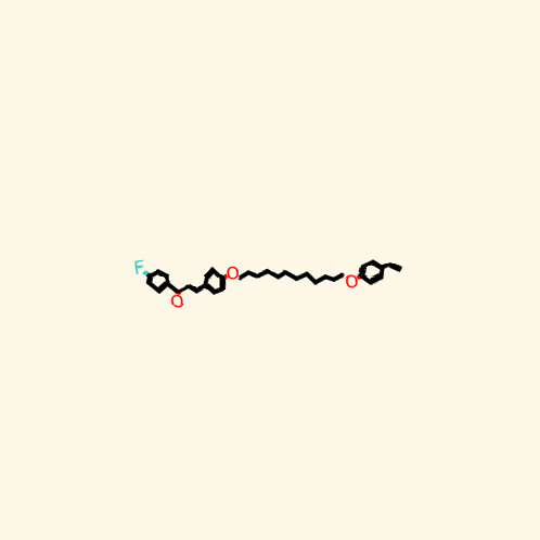 C=Cc1ccc(OCCCCCCCCCCCCOc2ccc(/C=C/C(=O)c3ccc(F)cc3)cc2)cc1